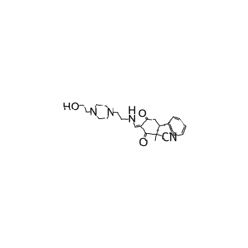 CC1(C#N)C(=O)C(=CNCCN2CCN(CCO)CC2)C(=O)CC1c1ccccc1